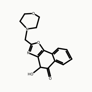 O=C1c2ccccc2-c2oc(CN3CCOCC3)nc2C1O